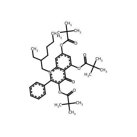 CCCCC(CC)Cn1c(-c2ccccc2)c(OC(=O)C(C)(C)C)c(=O)c2c(OC(=O)C(C)(C)C)cc(OC(=O)C(C)(C)C)cc21